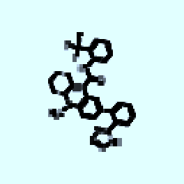 CN(c1ccc(-c2ccccc2-c2nnn[nH]2)cc1NC(=O)Nc1ccccc1C(F)(F)F)C1CCCCC1